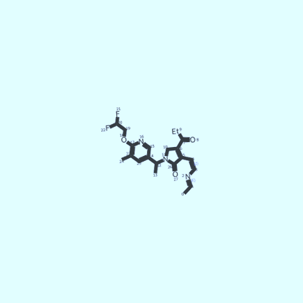 C/C=N/C=C\C1=C(C(=O)CC)CN(C(C)c2cnc(OCC(F)F)c(C)c2)C1=O